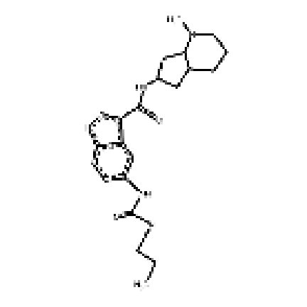 CCCNC(=O)Nc1ccc2[nH]nc(C(=O)N[C@@H]3CC4CCCN(C)C4C3)c2c1